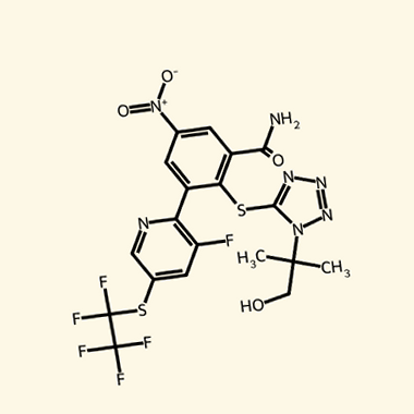 CC(C)(CO)n1nnnc1Sc1c(C(N)=O)cc([N+](=O)[O-])cc1-c1ncc(SC(F)(F)C(F)(F)F)cc1F